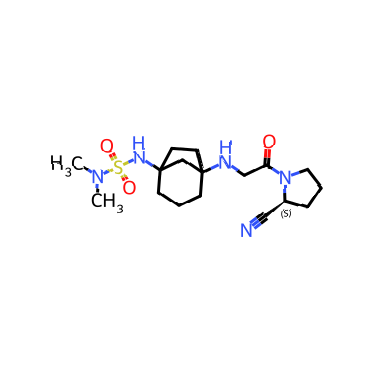 CN(C)S(=O)(=O)NC12CCCC(NCC(=O)N3CCC[C@H]3C#N)(CC1)C2